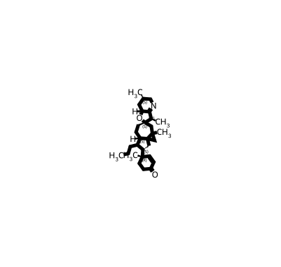 CCCC1[C@@H]2CC[C@@]3(CC4(C)CC24C[C@@H]1[C@]1(C)C=CC(=O)CC1)O[C@@H]1C[C@H](C)CN=C1[C@H]3C